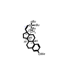 CCC[CH2][Sn](/[CH]=C\[C@]1(O)CC[C@H]2[C@@H]3CCc4cc(OC)ccc4[C@H]3CC[C@@]21C)([CH2]CCC)[CH2]CCC